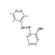 CC(C)(C)c1ccccc1N=Nc1ccccc1